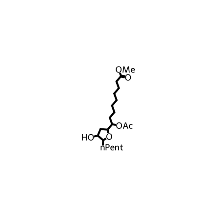 CCCCCC1OC(C(CCCCCCCC(=O)OC)OC(C)=O)CC1O